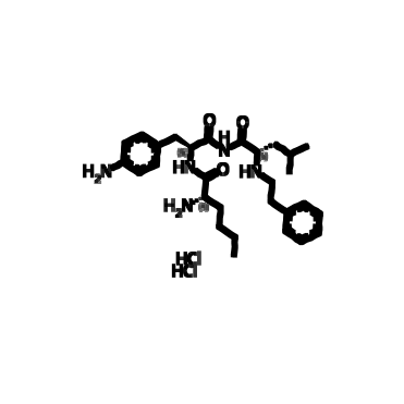 CCCC[C@H](N)C(=O)N[C@@H](Cc1ccc(N)cc1)C(=O)NC(=O)[C@H](CC(C)C)NCCc1ccccc1.Cl.Cl